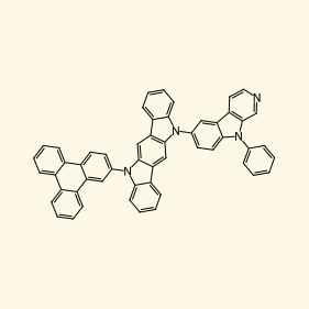 c1ccc(-n2c3ccc(-n4c5ccccc5c5cc6c(cc54)c4ccccc4n6-c4ccc5c6ccccc6c6ccccc6c5c4)cc3c3ccncc32)cc1